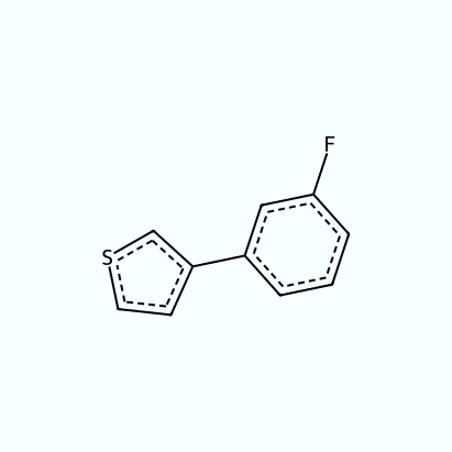 Fc1cccc(-c2ccsc2)c1